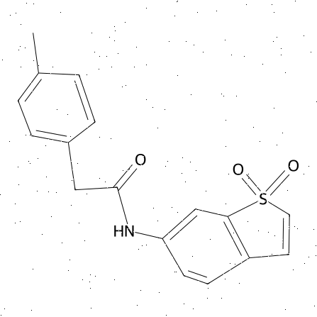 Cc1ccc(CC(=O)Nc2ccc3c(c2)S(=O)(=O)C=C3)cc1